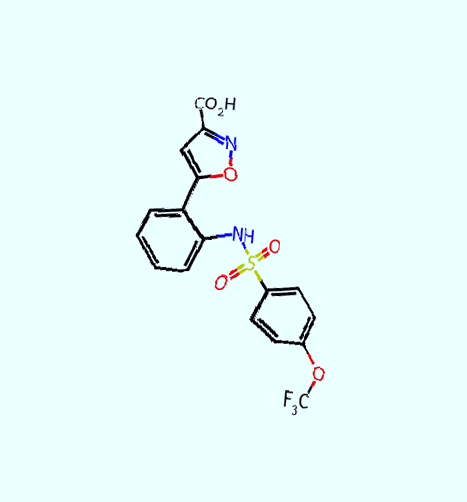 O=C(O)c1cc(-c2ccccc2NS(=O)(=O)c2ccc(OC(F)(F)F)cc2)on1